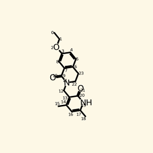 CCOc1ccc2c(c1)C(=O)N(Cc1c(C)cc(C)[nH]c1=O)CC2